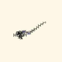 CCCCCCCCCCCCCC/C=C\CC/C=C\CCC(O)(C[N+](C)(C)C)P(=O)(O)O